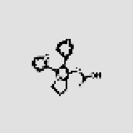 O=C(O)Oc1c(-c2ccncc2)c(-c2cccs2)n2c1CCC2